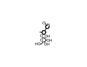 Cc1cc(-c2ccnc(Cl)c2)ccc1OC1OC(CO)C(O)C(O)C1O